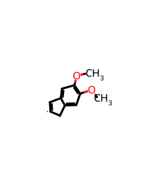 COc1cc2c(cc1OC)C[C]=C2